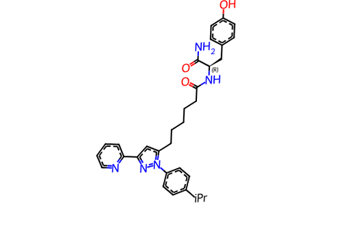 CC(C)c1ccc(-n2nc(-c3ccccn3)cc2CCCCCC(=O)N[C@H](Cc2ccc(O)cc2)C(N)=O)cc1